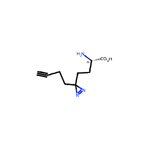 C#CCCC1(CC[C@H](N)C(=O)O)N=N1